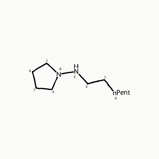 CCCCCCCNN1CCCC1